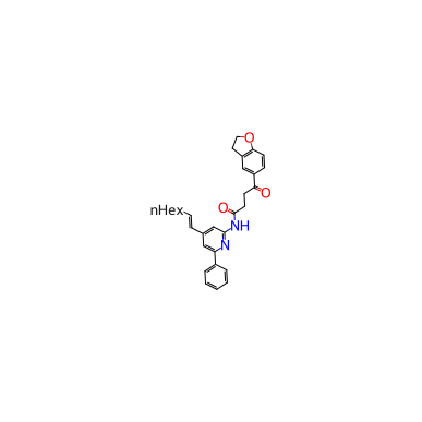 CCCCCCC=Cc1cc(NC(=O)CCC(=O)c2ccc3c(c2)CCO3)nc(-c2ccccc2)c1